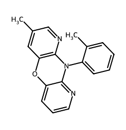 Cc1cnc2c(c1)Oc1cccnc1N2c1ccccc1C